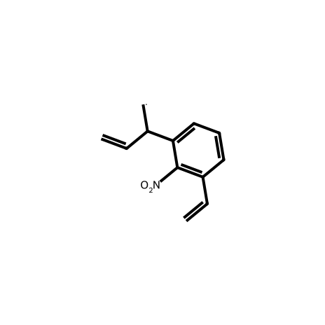 [CH2]C(C=C)c1cccc(C=C)c1[N+](=O)[O-]